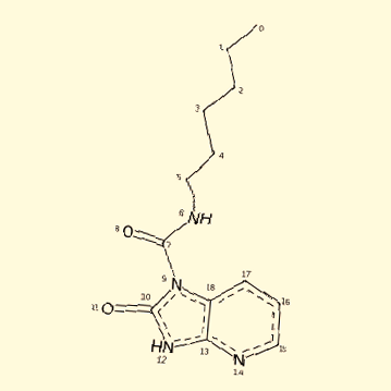 CCCCCCNC(=O)n1c(=O)[nH]c2ncccc21